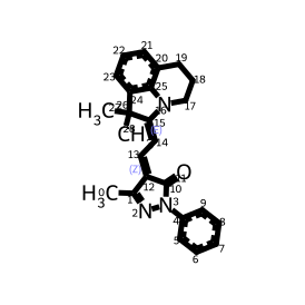 CC1=NN(c2ccccc2)C(=O)/C1=C\C=C1\N2CCCc3cccc(c32)C1(C)C